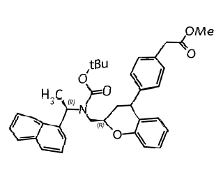 COC(=O)Cc1ccc(C2C[C@H](CN(C(=O)OC(C)(C)C)[C@H](C)c3cccc4ccccc34)Oc3ccccc32)cc1